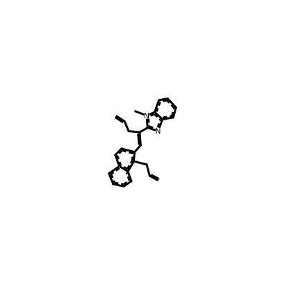 C=CC/C(=C\c1ccc2ccccc2c1CC=C)c1nc2ccccc2n1C